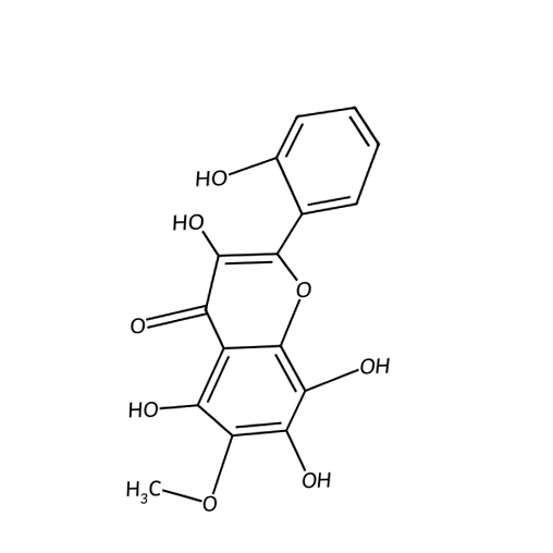 COc1c(O)c(O)c2oc(-c3ccccc3O)c(O)c(=O)c2c1O